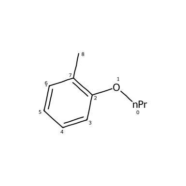 CCCOc1ccc[c]c1C